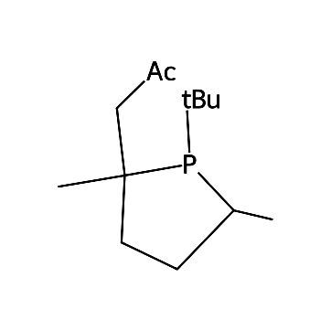 CC(=O)CC1(C)CCC(C)P1C(C)(C)C